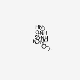 CC(C)Cc1cccc(N2C(=O)Nc3c(C(=O)NC4CCCNC4)sc4nccc2c34)c1